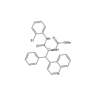 CCc1ccccc1NC(=O)[C@@H](NC(=O)OC)C(c1ccccc1)c1ccnc2ccccc12